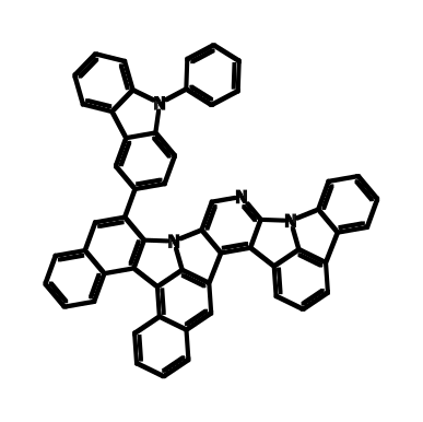 c1ccc(-n2c3ccccc3c3cc(-c4cc5ccccc5c5c6c7ccccc7cc7c8c9c%10cccc%11c%12ccccc%12n(c9ncc8n(c45)c76)c%11%10)ccc32)cc1